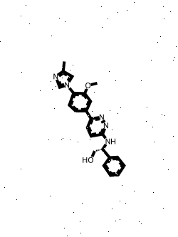 COc1cc(-c2ccc(N[C@@H](CO)c3ccccc3)nn2)ccc1-n1cnc(C)c1